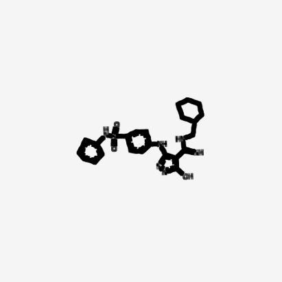 N=C(NCC1CCCCC1)c1c(O)nsc1Nc1ccc(S(=O)(=O)Nc2ccccc2)cc1